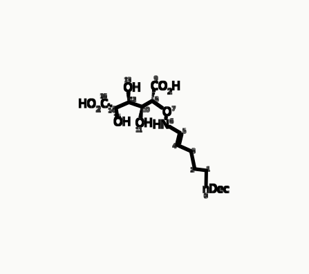 CCCCCCCCCCCCC/C=C/NO[C@@H](C(=O)O)[C@@H](O)[C@H](O)[C@H](O)C(=O)O